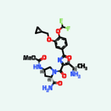 COC(=O)N[C@@H]1C[C@@H](C(N)=O)N(C(=O)c2nc(-c3ccc(OC(F)F)c(OCC4CC4)c3)oc2[C@H](C)N)C1